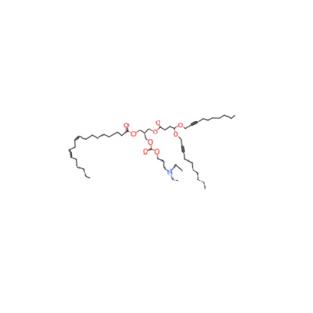 CCCCC/C=C\C/C=C\CCCCCCCC(=O)OCC(COC(=O)CCC(OCC#CCCCCCCC)OCC#CCCCCCCC)COC(=O)OCCCN(CC)CC